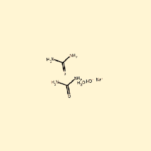 NC(N)=O.NC(N)=S.O.[Na+].[OH-]